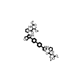 COC[C@H](NC(=O)OC)C(=O)N1CCC[C@H]1c1ncc(-c2ccc(-c3ccc(-c4[nH]c([C@@H]5CCCN5C(=O)[C@@H](NC(=O)OC)[C@@H](C)OC)c5c4COC5)cc3)cc2)[nH]1